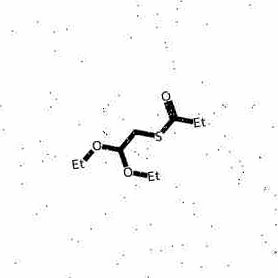 CCOC(CSC(=O)CC)OCC